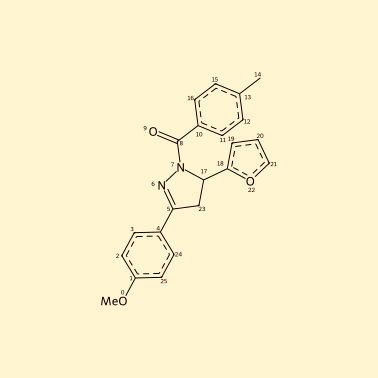 COc1ccc(C2=NN(C(=O)c3ccc(C)cc3)C(c3ccco3)C2)cc1